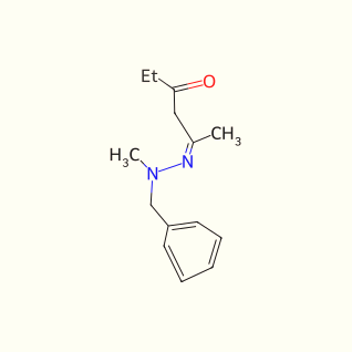 CCC(=O)CC(C)=NN(C)Cc1ccccc1